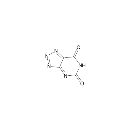 O=C1N=C2N=NN=C2C(=O)N1